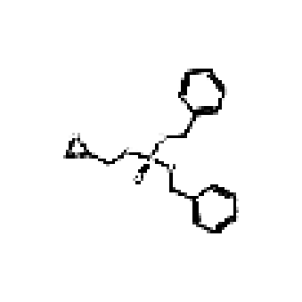 O=P(OCc1ccccc1)(OCc1ccccc1)OCC1CO1